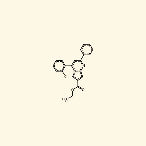 CCOC(=O)c1cc2nc(-c3ccccc3)cc(-c3ccccc3Cl)n2n1